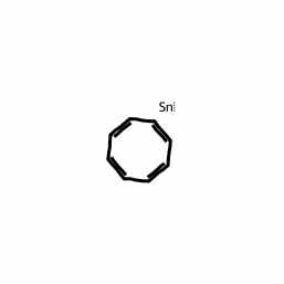 C1=CC=CC=CC=C1.[Sn]